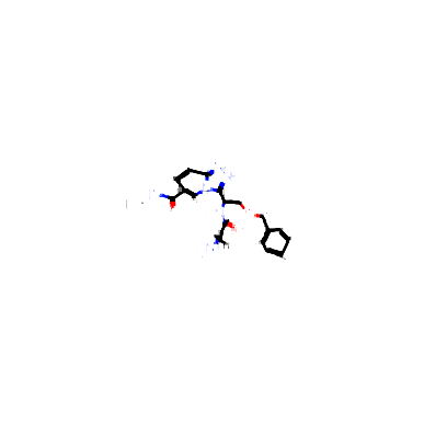 CNC(=O)c1ccc2nnc(C(COCc3ccccc3)NC(=O)C(C)(C)N)n2c1